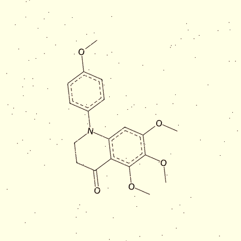 COc1ccc(N2CCC(=O)c3c2cc(OC)c(OC)c3OC)cc1